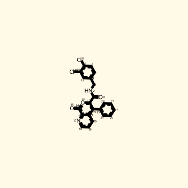 O=C(NCc1ccc(Cl)c(Cl)c1)c1oc(=O)c2ncccc2c1-c1ccccc1